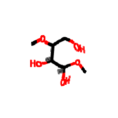 COC(CO)[C@H](O)[C@H](O)OC